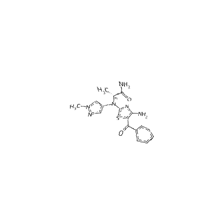 C[C@H](C(N)=O)N(c1cnn(C)c1)c1nc(N)c(C(=O)c2ccccc2)s1